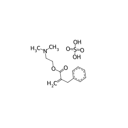 C=C(Cc1ccccc1)C(=O)OCCN(C)C.O=S(=O)(O)O